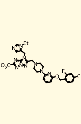 CCn1cncc1Cn1c(CN2CCN(c3cccc(OCc4ccc(C#N)cc4F)n3)CC2)nn2nc(C(=O)O)nc12